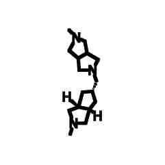 CN1CC2CN(C[C@@H]3C[C@@H]4CN(C)C[C@@H]4C3)CC2C1